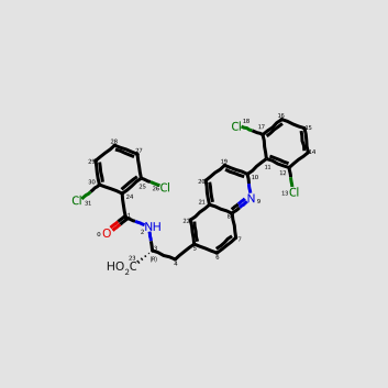 O=C(N[C@H](Cc1ccc2nc(-c3c(Cl)cccc3Cl)ccc2c1)C(=O)O)c1c(Cl)cccc1Cl